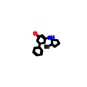 CCC1CCCC1NC1=CC(=O)CC(c2ccccc2)C1